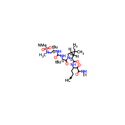 C#CCCC(NC(=O)[C@@H]1[C@@H]2[C@H](CN1C(=O)[C@@H](NC(=O)N[C@H](CN(C)S(=O)(=O)NC)C(C)(C)C)C(C)(C)C)C2(C)C)C(=O)C(=O)NCC